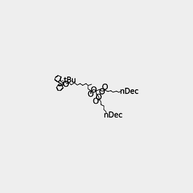 CCCCCCCCCCCCCCCC(=O)OCC(COC(=O)CCCCCCCCCCCCCCC)OC(=O)CC(C)CCCCCCCO[Si](c1ccccc1)(c1ccccc1)C(C)(C)C